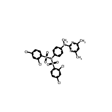 Cc1cc(C)nc(N(C)c2ccc(N(S(=O)(=O)c3ccc(Cl)cc3Cl)S(=O)(=O)c3ccc(Cl)cc3Cl)cc2)n1